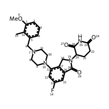 COc1cccc(CN2CCN(c3cc(F)cc4c3CN(C3CCC(=O)NC3=O)C4=O)CC2)c1C